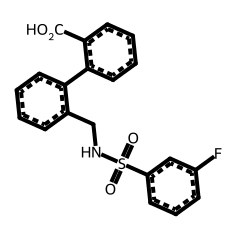 O=C(O)c1ccccc1-c1ccccc1CNS(=O)(=O)c1cccc(F)c1